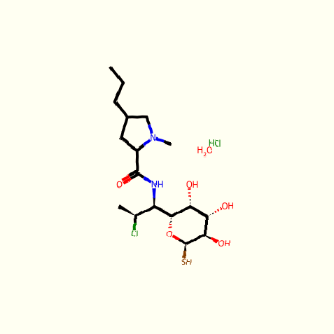 CCCC1CC(C(=O)N[C@@H]([C@H]2O[C@H](S)[C@H](O)[C@@H](O)[C@H]2O)[C@H](C)Cl)N(C)C1.Cl.O